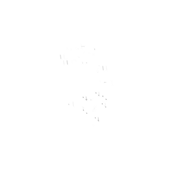 COC[C@@](C)(OC[C@H]1O[C@@H](n2nnc3c(NC4CCCC4)nc(Cl)nc32)[C@H](O)[C@@H]1O)P(=O)(O)O